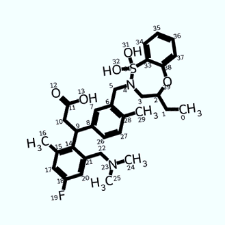 CCC1CN(Cc2cc(C(CC(=O)O)c3c(C)cc(F)cc3CN(C)C)ccc2C)S(O)(O)c2ccccc2O1